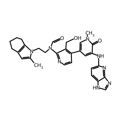 Cc1cc2c(n1CCN(C=O)c1nccc(-c3cc(Nc4ccc5[nH]cnc5n4)c(=O)n(C)c3)c1CO)CCCC2